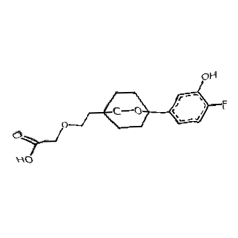 O=C(O)COCCC12CCC(c3ccc(F)c(O)c3)(CC1)OC2